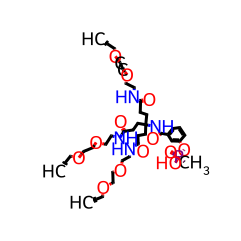 C#CCOCCOCCNC(=O)CCC(CCC(=O)NCCOCCOCC#C)(CCC(=O)NCCOCCOCC#C)NC(=O)c1cccc(OP(C)(=O)O)c1